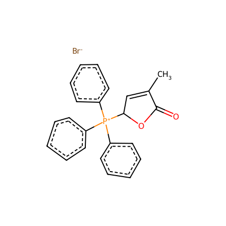 CC1=CC([P+](c2ccccc2)(c2ccccc2)c2ccccc2)OC1=O.[Br-]